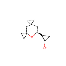 OC1CC1[C@@H]1CC2(CC2)CC2(CC2)O1